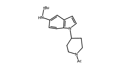 CC(=O)N1CCC(n2ccc3cc(NC(C)(C)C)ccc32)CC1